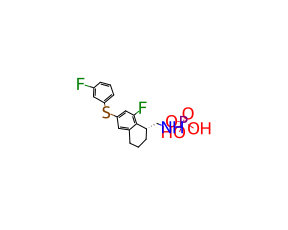 O=P(O)(O)ONC[C@@H]1CCCc2cc(Sc3cccc(F)c3)cc(F)c21